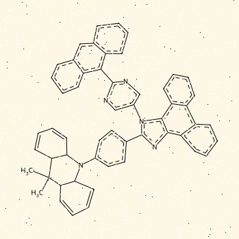 CC1(C)C2C=CC=CC2N(c2ccc(-c3nc4c5ccccc5c5ccccc5c4n3-c3cnc(-c4c5ccccc5cc5ccccc45)nc3)cc2)C2C=CC=CC21